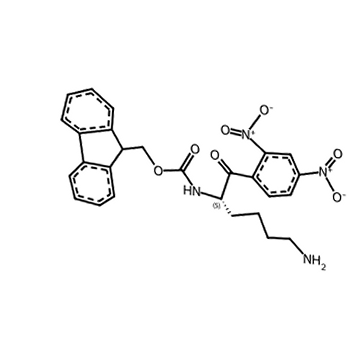 NCCCC[C@H](NC(=O)OCC1c2ccccc2-c2ccccc21)C(=O)c1ccc([N+](=O)[O-])cc1[N+](=O)[O-]